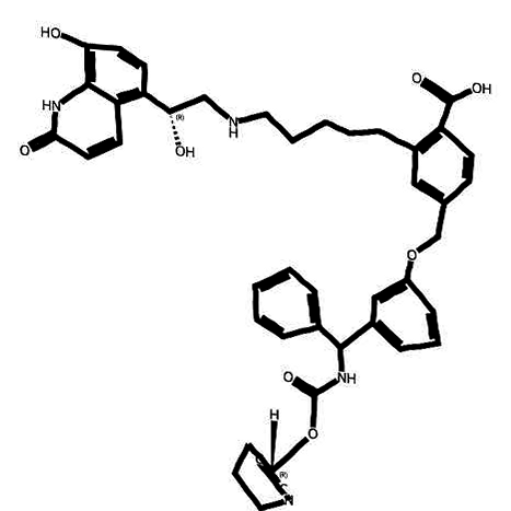 O=C(NC(c1ccccc1)c1cccc(OCc2ccc(C(=O)O)c(CCCCCNC[C@H](O)c3ccc(O)c4[nH]c(=O)ccc34)c2)c1)O[C@H]1CN2CCC1CC2